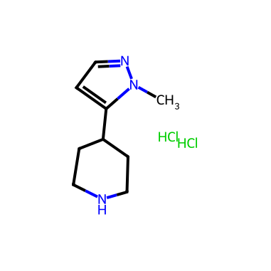 Cl.Cl.Cn1nccc1C1CCNCC1